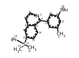 Cc1cc(-c2nccc3cc(S(C)(C)C(C)C)ccc23)cc(C(C)(C)C)c1